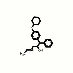 CCNCC(O)C(c1ccccc1)c1ccc(SC2CCCCC2)cc1